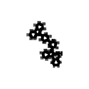 c1ccc2c(c1)CNc1c-2c2ccccc2n1-c1ccnc(-c2ccc(B3c4ccccc4-c4ccccc43)cc2)n1